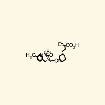 CCCCNC(=O)N(CCO[C@H]1CCC[C@@H](CCC(CC)C(=O)O)C1)Cc1ccc(C)cc1